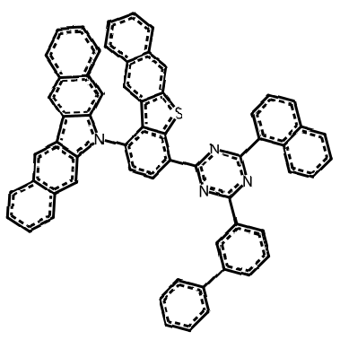 c1ccc(-c2cccc(-c3nc(-c4cccc5ccccc45)nc(-c4ccc(-n5c6cc7ccccc7cc6c6cc7ccccc7cc65)c5c4sc4cc6ccccc6cc45)n3)c2)cc1